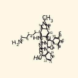 Cn1cc2c(CCCCCN)c(Nc3nc(=O)n(-c4cnccc4C(=O)O)c(=O)n3Cc3cc(F)c(F)c(F)c3)c(Cl)cc2n1